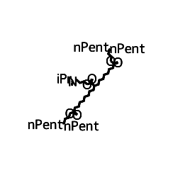 CCCCCC(CCCCC)CCOC(=O)CCCCCCCCC(CCCCCCCC(=O)OCCC(CCCCC)CCCCC)C(=O)OCCCN(C)C(C)C